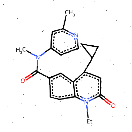 CCn1c(=O)cc(C2CC2)c2cc(C(=O)N(C)c3ccnc(C)c3)ccc21